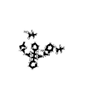 Cc1csc(N=C2NC3(c4ccccn4)NC(=Nc4nc5ccccc5[nH]4)NC3(c3ccccn3)N2)n1.O=C(O)C(F)(F)F.O=C(O)C(F)(F)F